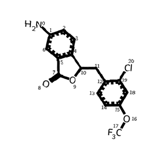 Nc1ccc2c(c1)C(=O)OC2Cc1ccc(OC(F)(F)F)cc1Cl